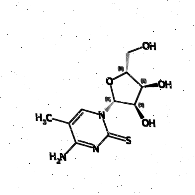 Cc1cn([C@@H]2O[C@H](CO)[C@@H](O)[C@H]2O)c(=S)nc1N